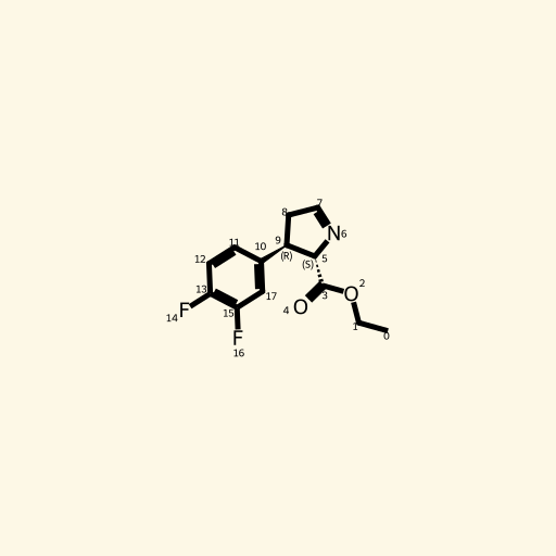 CCOC(=O)[C@H]1N=CC[C@@H]1c1ccc(F)c(F)c1